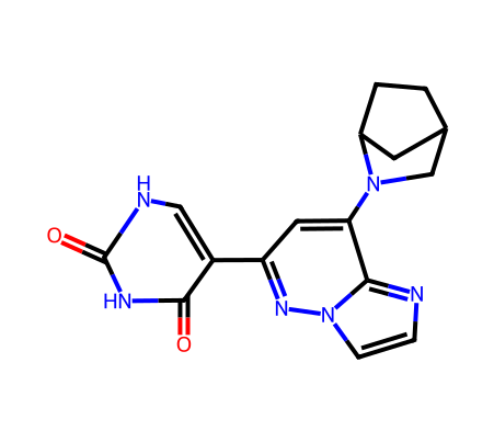 O=c1[nH]cc(-c2cc(N3CC4CCC3C4)c3nccn3n2)c(=O)[nH]1